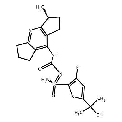 C[C@H]1CCc2c1nc1c(c2NC(=O)N=[S@@](N)(=O)c2sc(C(C)(C)O)cc2F)CCC1